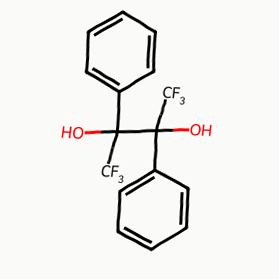 OC(c1ccccc1)(C(F)(F)F)C(O)(c1ccccc1)C(F)(F)F